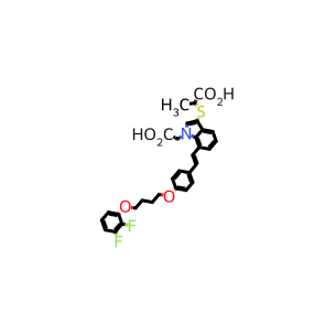 CC(Sc1cn(CC(=O)O)c2c(C=Cc3ccc(OCCCCOc4cccc(F)c4F)cc3)cccc12)C(=O)O